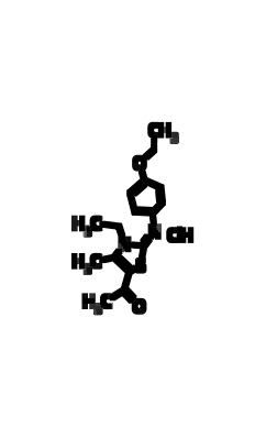 CCOc1ccc(N=c2sc(C(C)=O)c(C)n2CC)cc1.Cl